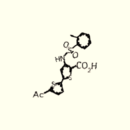 CC(=O)c1ccc(-c2cc(NS(=O)(=O)c3ccccc3C)c(C(=O)O)s2)s1